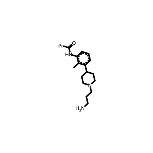 Cc1c(NC(=O)C(C)C)cccc1C1CCN(CCCN)CC1